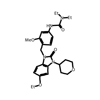 CCOc1ccc2c(c1)n(C1CCOCC1)c(=O)n2Cc1ccc(NC(=O)N(CC)CC)cc1OC